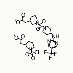 COC(=O)CC1CCCN(S(=O)(=O)Cl)C1.COC(=O)CC1CCCN(S(=O)(=O)N2CCC(Nc3ncc(C(F)(F)F)cn3)CC2)C1